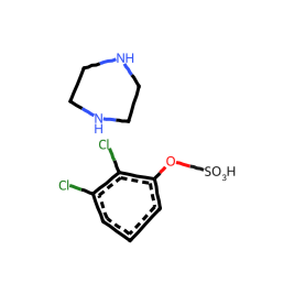 C1CNCCN1.O=S(=O)(O)Oc1cccc(Cl)c1Cl